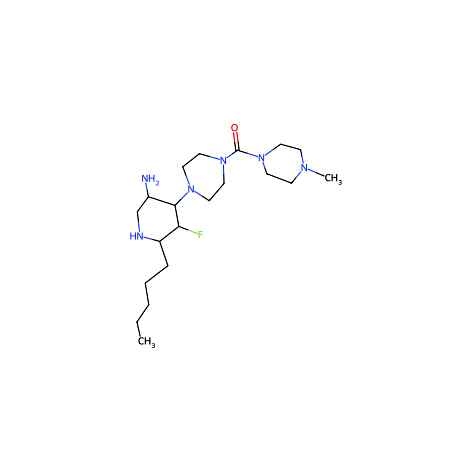 CCCCCC1NCC(N)C(N2CCN(C(=O)N3CCN(C)CC3)CC2)C1F